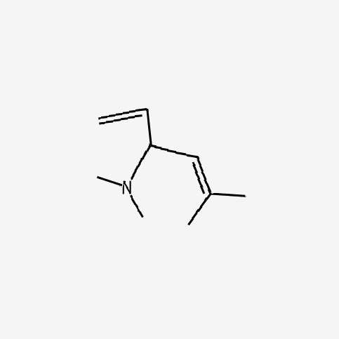 C=CC(C=C(C)C)N(C)C